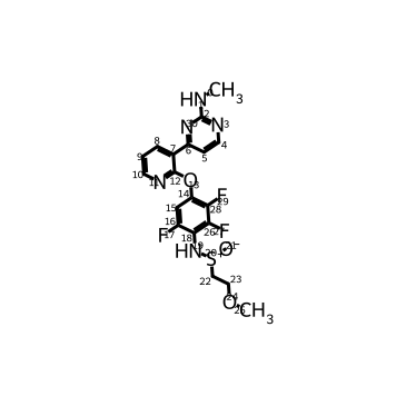 CNc1nccc(-c2cccnc2Oc2cc(F)c(N[S+]([O-])CCOC)c(F)c2F)n1